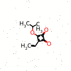 C=Cc1c(OC(C)C)c(=O)c1=O